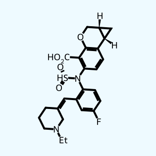 CCN1CCCC(=Cc2cc(F)ccc2N(c2ccc3c(c2C(=O)O)OC[C@@H]2C[C@H]32)[SH](=O)=O)C1